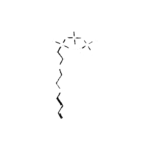 C=CC=COCCOCC[Si](C)(C)O[Si](C)(C)O[Si](C)(C)C